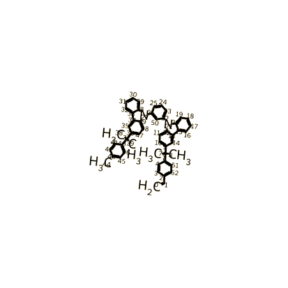 C=Cc1ccc(C(C)(C)c2ccc3c(c2)c2ccccc2n3-c2cccc(-n3c4ccccc4c4cc(C(C)(C)c5ccc(C)cc5)ccc43)c2)cc1